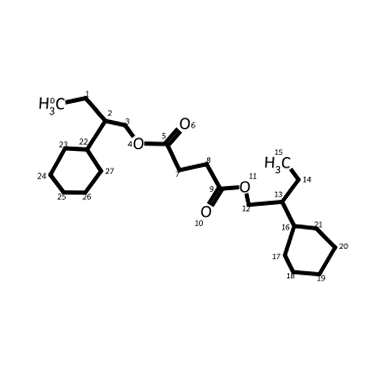 CCC(COC(=O)CCC(=O)OCC(CC)C1CCCCC1)C1CCCCC1